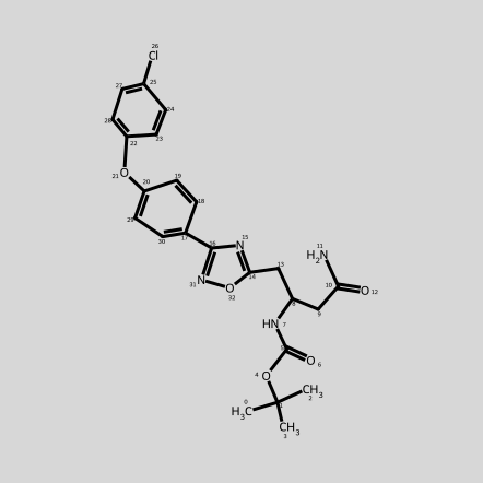 CC(C)(C)OC(=O)NC(CC(N)=O)Cc1nc(-c2ccc(Oc3ccc(Cl)cc3)cc2)no1